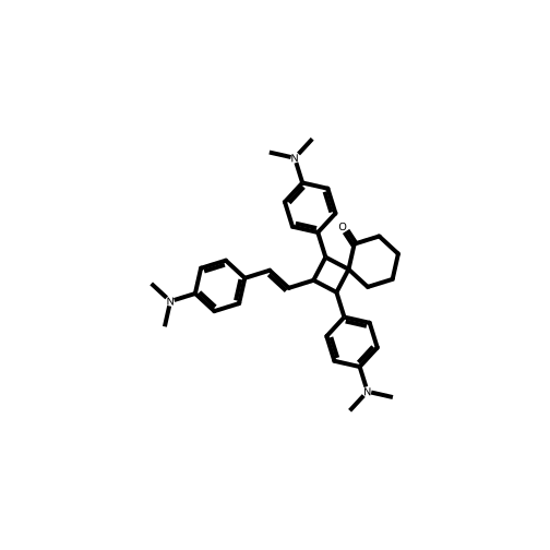 CN(C)c1ccc(C=CC2C(c3ccc(N(C)C)cc3)C3(CCCCC3=O)C2c2ccc(N(C)C)cc2)cc1